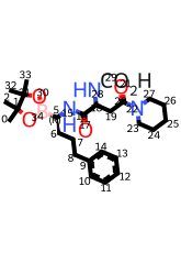 CC1(C)OB([C@H](CCCc2ccccc2)NC(=O)C(CC(=O)N2CCCCC2)NC(=O)O)OC1(C)C